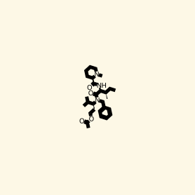 CC[C@H](C)[C@H](NC(=O)[C@H]1CCCCN1C)C(=O)N(Cc1ccccc1)[C@H](CCOC(C)=O)C(C)C